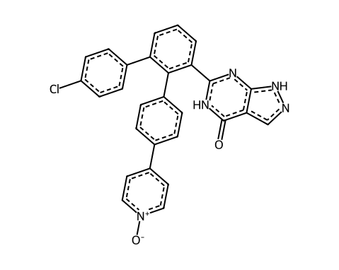 O=c1[nH]c(-c2cccc(-c3ccc(Cl)cc3)c2-c2ccc(-c3cc[n+]([O-])cc3)cc2)nc2[nH]ncc12